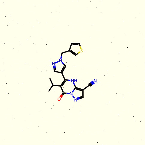 CC(C)c1c(-c2cnn(Cc3ccsc3)c2)[nH]c2c(C#N)cnn2c1=O